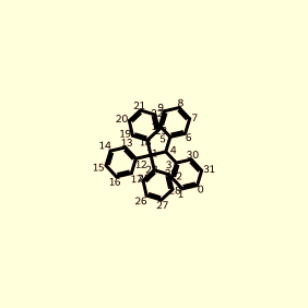 c1ccc(C(c2ccccc2)C(c2ccccc2)(c2ccccc2)c2ccccc2)cc1